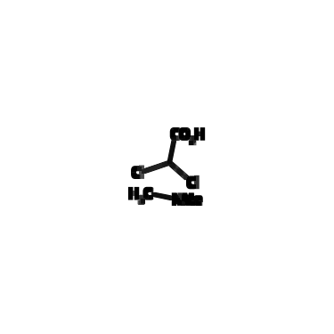 CNC.O=C(O)C(Cl)Cl